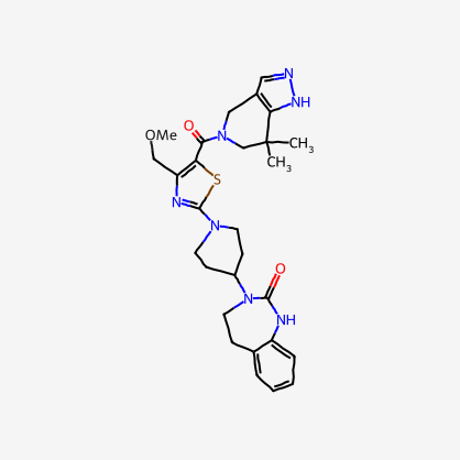 COCc1nc(N2CCC(N3CCc4ccccc4NC3=O)CC2)sc1C(=O)N1Cc2cn[nH]c2C(C)(C)C1